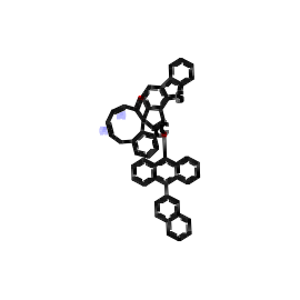 C=C1/C=C\C=C/Cc2ccccc2C12c1cc(-c3c4ccccc4c(-c4ccc5ccccc5c4)c4ccccc34)ccc1-c1c2ccc2c1sc1ccccc12